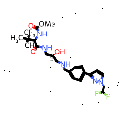 COC(=O)NC(C(=O)NC[C@@H](O)CNCc1ccc(-c2ccn(CC(F)F)n2)cc1)C(C)(C)C(F)(F)F